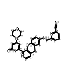 N#Cc1cccc(CNc2ccc3c(c2)Cc2ccnc(-c4cc(N5CCOCC5)cc(=O)[nH]4)c2O3)n1